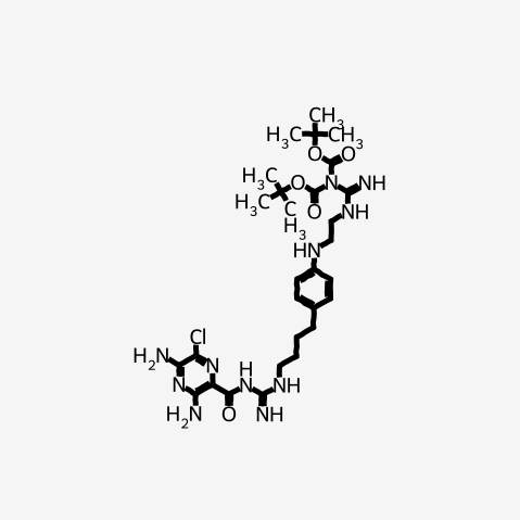 CC(C)(C)OC(=O)N(C(=N)NCCNc1ccc(CCCCNC(=N)NC(=O)c2nc(Cl)c(N)nc2N)cc1)C(=O)OC(C)(C)C